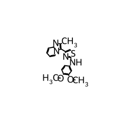 COc1ccc(Nc2nc(-c3c(C)nc4ccccn34)cs2)cc1OC